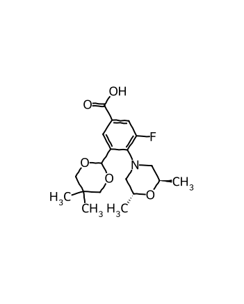 C[C@@H]1CN(c2c(F)cc(C(=O)O)cc2C2OCC(C)(C)CO2)C[C@@H](C)O1